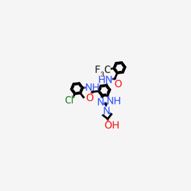 Cc1c(Cl)cccc1NC(=O)c1cc(NC(=O)c2ccccc2C(F)(F)F)cc2[nH]c(N3CC(O)C3)nc12